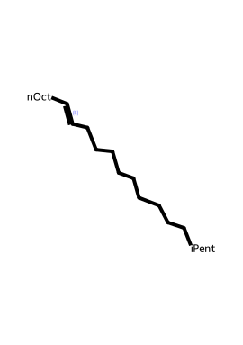 CCCCCCCC/C=C/CCCCCCCCCC(C)CCC